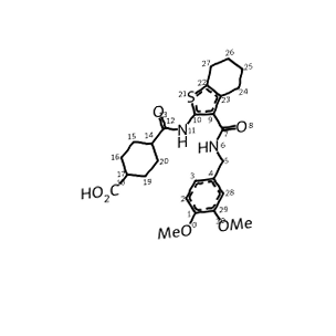 COc1ccc(CNC(=O)c2c(NC(=O)C3CCC(C(=O)O)CC3)sc3c2CCCC3)cc1OC